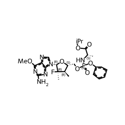 COc1nc(N)nc2c1ncn2[C@@H]1O[C@H](CO[P@@](=O)(N[C@@H](C)C(=O)OC(C)C)Oc2ccccc2)[C@@H](C)[C@@]1(C)F